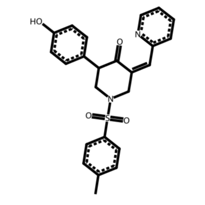 Cc1ccc(S(=O)(=O)N2C/C(=C/c3ccccn3)C(=O)C(c3ccc(O)cc3)C2)cc1